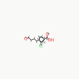 O=CCCCc1ccc(C(=O)O)cc1Cl